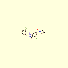 Cc1cccc(Cl)c1Cn1nc(I)c2c(F)cc(C(=O)N3CC(C)C3)cc21